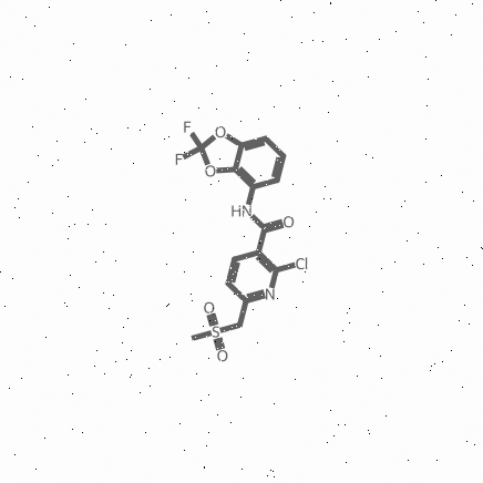 CS(=O)(=O)Cc1ccc(C(=O)Nc2cccc3c2OC(F)(F)O3)c(Cl)n1